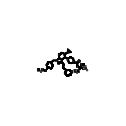 COc1ccc(Cn2nc(/C=C/c3cccnc3)c3c(N4CCN(C(=O)OC(C)(C)C)CC4)c(C4CC4)cnc32)cc1